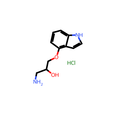 Cl.NCC(O)COc1cccc2[nH]ccc12